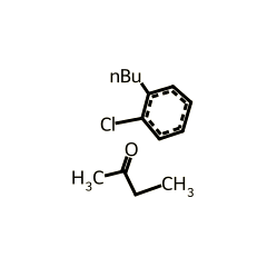 CCC(C)=O.CCCCc1ccccc1Cl